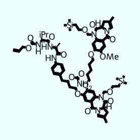 C=CCOC(=O)N[C@H](C(=O)N[C@@H](C)C(=O)Nc1ccc(CC(CCOc2cc3c(cc2OCCCCCOc2cc4c(cc2OC)C(=O)N2C=C(C)C[C@H]2C(=O)N4COCC[Si](C)(C)C)N(COCC[Si](C)(C)C)C(=O)[C@@H]2CC(C)=CN2C3=O)OC(N)=O)cc1)C(C)C